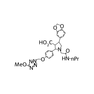 CCCNC(=O)CN1CC(c2ccc3c(c2)OCO3)C(C(=O)O)C1c1ccc(OCn2nnc(OC)n2)cc1